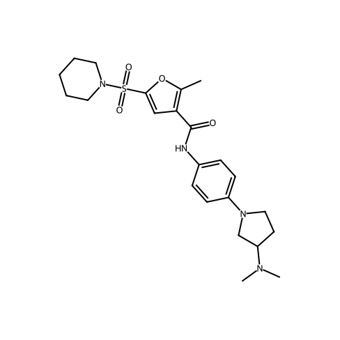 Cc1oc(S(=O)(=O)N2CCCCC2)cc1C(=O)Nc1ccc(N2CCC(N(C)C)C2)cc1